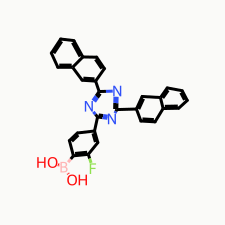 OB(O)c1ccc(-c2nc(-c3ccc4ccccc4c3)nc(-c3ccc4ccccc4c3)n2)cc1F